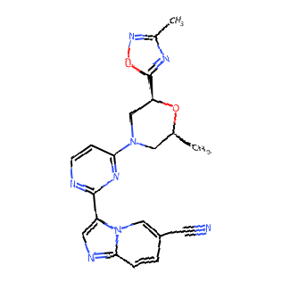 Cc1noc([C@@H]2CN(c3ccnc(-c4cnc5ccc(C#N)cn45)n3)C[C@H](C)O2)n1